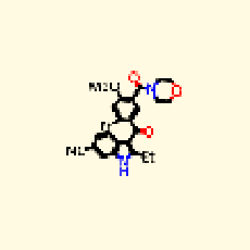 CCc1cc(OC)c(C(=O)N2CCOCC2)cc1C(=O)c1c(CC)[nH]c2cc(C#N)ccc12